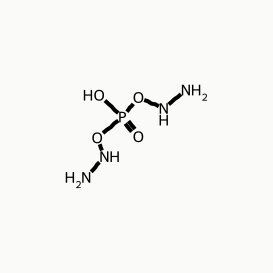 NNOP(=O)(O)ONN